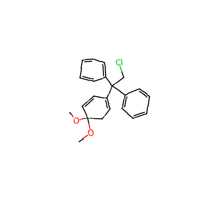 COC1(OC)C=CC(C(CCl)(c2ccccc2)c2ccccc2)=CC1